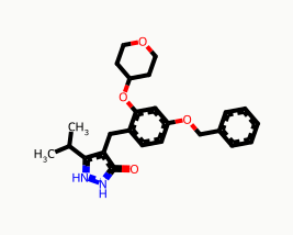 CC(C)c1[nH][nH]c(=O)c1Cc1ccc(OCc2ccccc2)cc1OC1CCOCC1